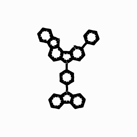 c1ccc(-c2ccc3c(n2)c2c4sc5ccccc5c4ccc2n3-c2ccc(-n3c4ccccc4c4ccccc43)cc2)cc1